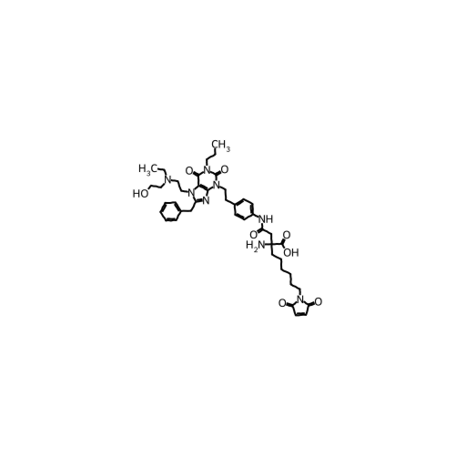 CCCn1c(=O)c2c(nc(Cc3ccccc3)n2CCN(CC)CCO)n(CCc2ccc(NC(=O)CC(N)(CCCCCCN3C(=O)C=CC3=O)C(=O)O)cc2)c1=O